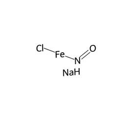 O=[N][Fe][Cl].[NaH]